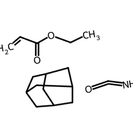 C1C2CC3CC1CC(C2)C3.C=CC(=O)OCC.N=C=O